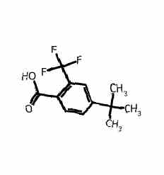 CC(C)(C)c1ccc(C(=O)O)c(C(F)(F)F)c1